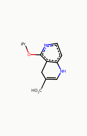 CC(C)Oc1nccc2c1CC(C(=O)O)=CN2